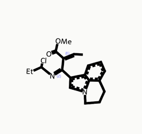 C/C=C(C(=O)OC)\C(=N/C(Cl)CC)c1cn2c3c(cccc13)CCC2